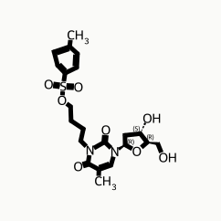 Cc1ccc(S(=O)(=O)OCCCCn2c(=O)c(C)cn([C@H]3C[C@H](O)[C@@H](CO)O3)c2=O)cc1